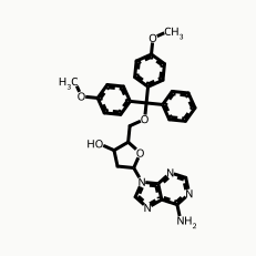 COc1ccc(C(OCC2OC(n3cnc4c(N)ncnc43)CC2O)(c2ccccc2)c2ccc(OC)cc2)cc1